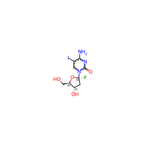 Nc1nc(=O)n([C@@]2(F)C[C@H](O)[C@@H](CO)O2)cc1I